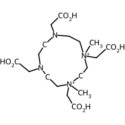 C[N+]1(CC(=O)O)CCN(CC(=O)O)CCN(CC(=O)O)CC[N+](C)(CC(=O)O)CC1